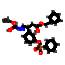 CC(C)(C)OC(=O)NCC(CC(=O)OCc1ccccc1)c1cccc(OS(=O)(=O)c2ccccc2)c1